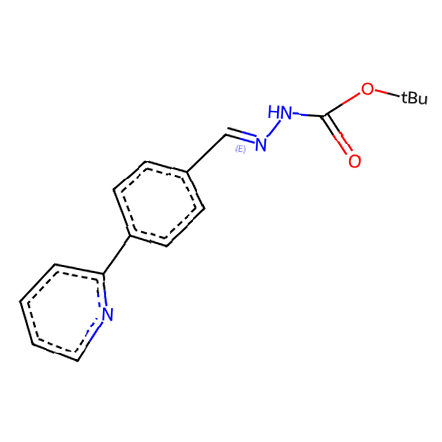 CC(C)(C)OC(=O)N/N=C/c1ccc(-c2ccccn2)cc1